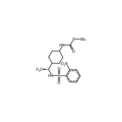 C[C@H](NS(=O)(=O)c1ccccc1[N+](=O)[O-])C1CCC(NC(=O)OC(C)(C)C)CC1